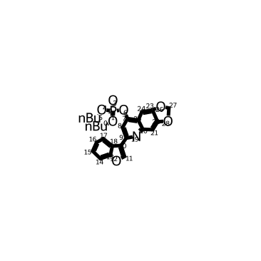 CCCCOP(=O)(OCCCC)Oc1cc(-c2coc3ccccc23)nc2cc3c(cc12)OCO3